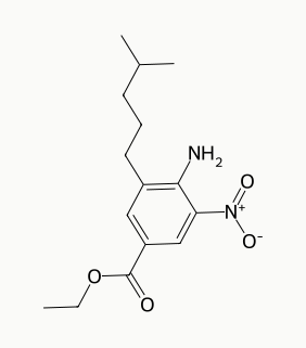 CCOC(=O)c1cc(CCCC(C)C)c(N)c([N+](=O)[O-])c1